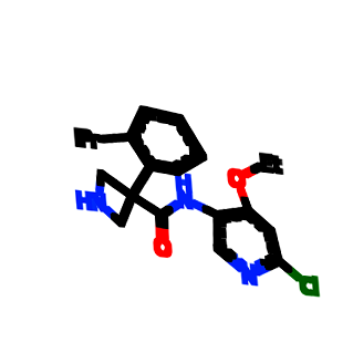 CCOc1cc(Cl)ncc1NC(=O)C1(c2ccccc2C(C)C)CNC1